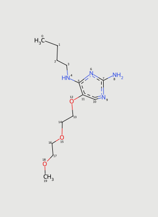 CCCCNc1nc(N)ncc1OCCOCCOC